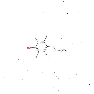 COCCc1c(I)c(I)c(O)c(I)c1I